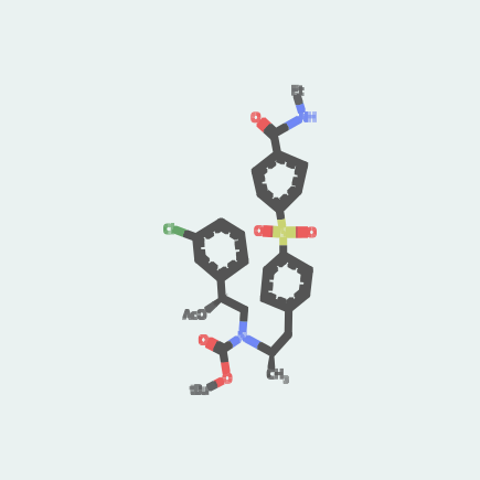 CCNC(=O)c1ccc(S(=O)(=O)c2ccc(C[C@@H](C)N(C[C@@H](OC(C)=O)c3cccc(Cl)c3)C(=O)OC(C)(C)C)cc2)cc1